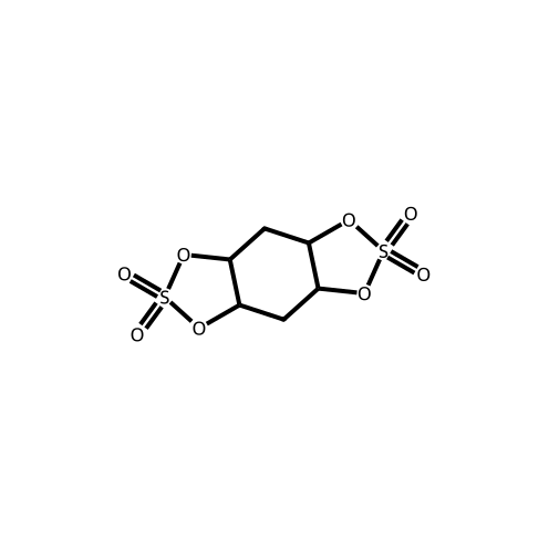 O=S1(=O)OC2CC3OS(=O)(=O)OC3CC2O1